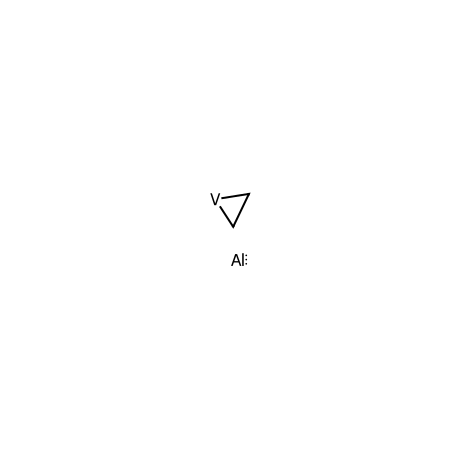 [Al].[CH2]1[CH2][V]1